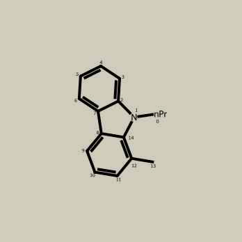 CCCn1c2ccccc2c2cccc(C)c21